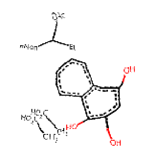 CC(=O)O.CC(=O)O.CCCCCCCCCC(CC)OC(C)=O.Oc1cc(O)c2ccccc2c1O